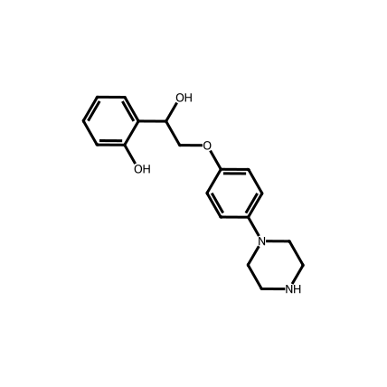 Oc1ccccc1C(O)COc1ccc(N2CCNCC2)cc1